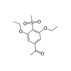 CCOc1cc(C(C)=O)cc(OCC)c1S(C)(=O)=O